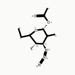 CCC1O[C@H](OC(C)=O)C(C)[C@@H](N=[N+]=[N-])[C@@H]1C